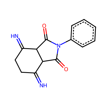 N=C1CCC(=N)C2C(=O)N(c3ccccc3)C(=O)C12